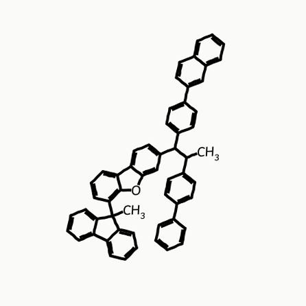 CC(c1ccc(-c2ccccc2)cc1)C(c1ccc(-c2ccc3ccccc3c2)cc1)c1ccc2c(c1)oc1c(C3(C)c4ccccc4-c4ccccc43)cccc12